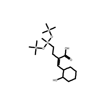 C[Si](C)(C)O[Si](C)(CCC(=CC1CCCCC1O)C(=O)O)O[Si](C)(C)C